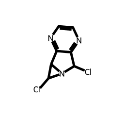 ClC1c2nccnc2C2C(Cl)N12